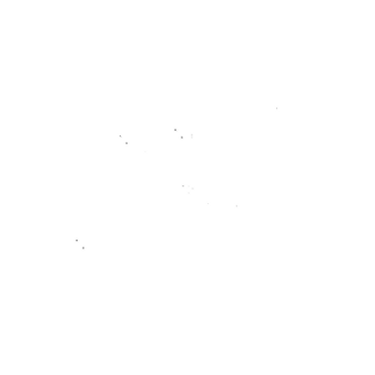 CC(=O)O.CC(=O)O.CC(=O)O.C[CH](O)[Na].NCCN